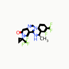 C[C@@H](Nc1ncnc2cc(=O)n(C3(C(F)(F)F)CC3)cc12)c1cccc(C(F)F)c1F